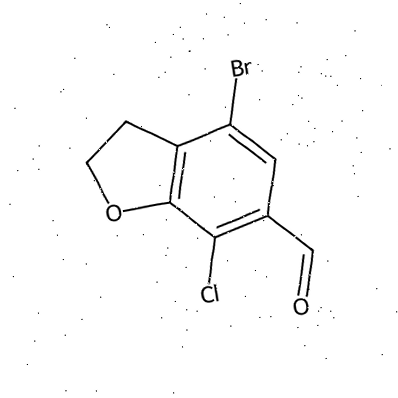 O=Cc1cc(Br)c2c(c1Cl)OCC2